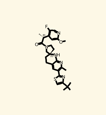 COc1cc([C@@H](C)C(=O)N2CC[C@@]3(CCc4cc(-c5nc(C(C)(C)C)cs5)c(C)nc4N3)C2)c(F)cn1